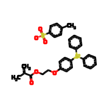 C=C(C)C(=O)OCCOc1ccc([S+](c2ccccc2)c2ccccc2)cc1.Cc1ccc(S(=O)(=O)[O-])cc1